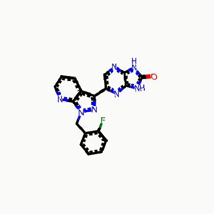 O=c1[nH]c2ncc(-c3nn(Cc4ccccc4F)c4ncccc34)nc2[nH]1